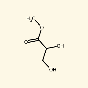 COC(=O)C(O)CO